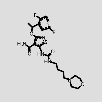 CC(Oc1nsc(NC(=O)NCCCCN2CCOCC2)c1C(N)=O)c1cc(F)ccc1F